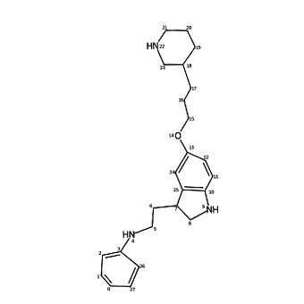 c1ccc(NCCC2CNc3ccc(OCCCC4CCCNC4)cc32)cc1